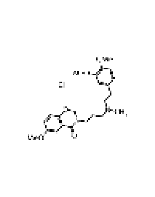 COc1ccc2c(c1)C(=O)N(CCCN(C)CCc1ccc(OC)c(OC)c1)CO2.Cl